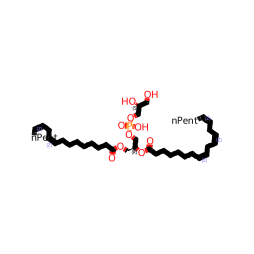 CCCCC/C=C\C/C=C\C/C=C\CCCCCCC(=O)O[C@H](COC(=O)CCCCCCC/C=C\C/C=C\CCCCC)COP(=O)(O)OC[C@@H](O)CO